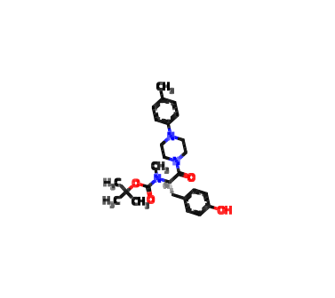 Cc1ccc(N2CCN(C(=O)[C@H](Cc3ccc(O)cc3)N(C)C(=O)OC(C)(C)C)CC2)cc1